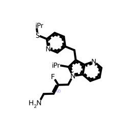 CC(C)Sc1ccc(Cc2c(C(C)C)n(C/C(F)=C/CN)c3cccnc23)cn1